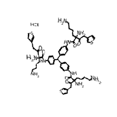 Cl.NCCCC[C@](N)(C(=O)Cc1ccsc1)C(=O)Nc1ccc(C(c2ccc(NC(=O)[C@](N)(CCCCN)C(=O)Cc3ccsc3)cc2)c2ccc(NC(=O)[C@](N)(CCCCN)C(=O)Cc3ccsc3)cc2)cc1